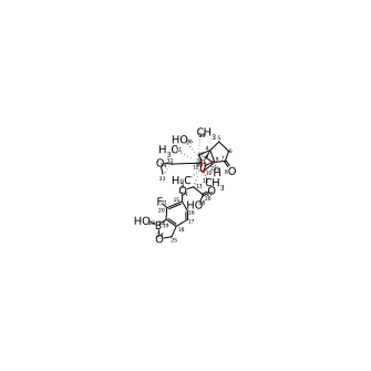 C[C@@H]1CC[C@@]23CCC(=O)[C@H]2[C@@]1(C)[C@H](C(Oc1ccc2c(c1F)B(O)OC2)C(=O)O)C[C@@](C)([C@@H]1CO1)[C@@H](O)[C@@H]3C